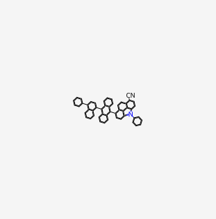 N#Cc1ccc2c3c1ccc1c(-c4c5ccccc5c(-c5ccc(-c6ccccc6)c6ccccc56)c5ccccc45)ccc(c13)n2-c1ccccc1